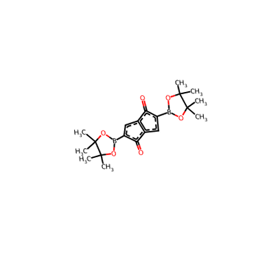 CC1(C)OB(c2cc3c(=O)c(B4OC(C)(C)C(C)(C)O4)cc=3c2=O)OC1(C)C